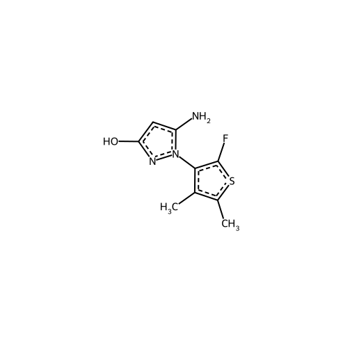 Cc1sc(F)c(-n2nc(O)cc2N)c1C